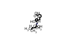 CC(C)=CCC(C)(C)[C@@H](O)/C=C/[C@H]1[C@H](O)CC2[C@@H]1CC1CCCC(C(=O)O)N12